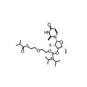 C=C1NC(=O)C=CN1[C@@H]1O[C@H](CC)C(OP(OCCOCCSC(=O)C(C)C)N(C(C)C)C(C)C)[C@@H]1F